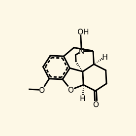 COc1ccc2c3c1O[C@@H]1C(=O)CC[C@@H]4C(C2)N(O)CC[C@@]314